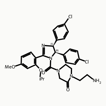 COc1ccc(C2=N[C@@H](c3ccc(Cl)cc3)[C@@H](c3ccc(Cl)cc3)N2C(=O)N2CCN(CCN)C(=O)C2)c(OC(C)C)c1